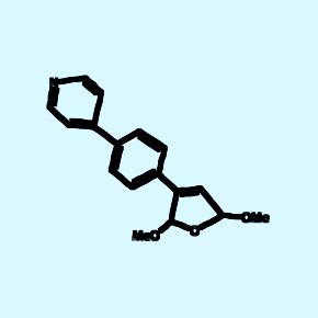 COC1C=C(c2ccc(-c3ccncc3)cc2)C(OC)O1